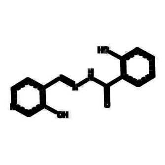 O=C(NN=Cc1ccncc1O)c1ccccc1O